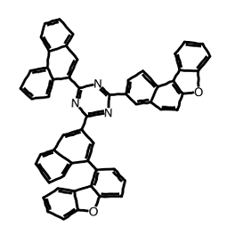 c1ccc2c(-c3cccc4oc5ccccc5c34)cc(-c3nc(-c4ccc5c(ccc6oc7ccccc7c65)c4)nc(-c4cc5ccccc5c5ccccc45)n3)cc2c1